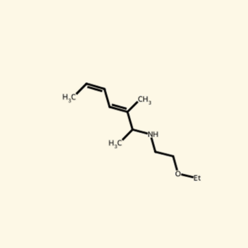 C/C=C\C=C(/C)C(C)NCCOCC